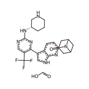 O=C1CC2CC(C1)N2c1ccc2c(-c3nc(N[C@H]4CCCNC4)ncc3C(F)(F)F)c[nH]c2n1.O=CO